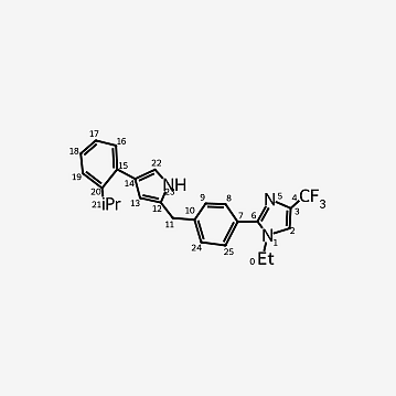 CCn1cc(C(F)(F)F)nc1-c1ccc(Cc2cc(-c3ccccc3C(C)C)c[nH]2)cc1